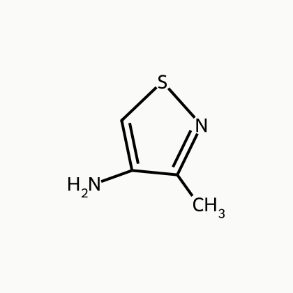 Cc1nscc1N